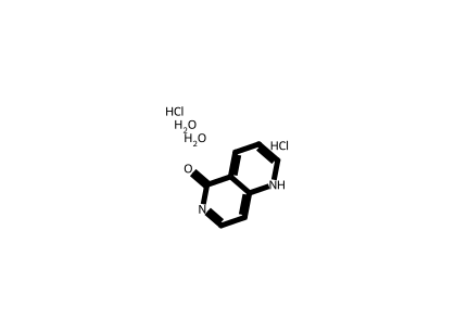 Cl.Cl.O.O.O=c1nccc2[nH]cccc1-2